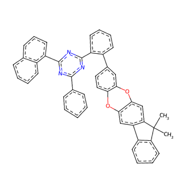 CC1(C)c2ccccc2-c2cc3c(cc21)Oc1cc(-c2ccccc2-c2nc(-c4ccccc4)nc(-c4cccc5ccccc45)n2)ccc1O3